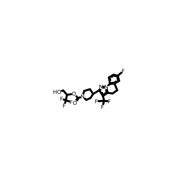 O=C(OC(CO)C(F)(F)F)N1CCC(c2nn3c(c2C(F)(F)F)CCc2cc(F)ccc2-3)CC1